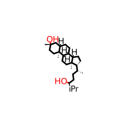 CC(C)[C@@H](O)CC[C@@H](C)[C@H]1CC[C@H]2[C@@H]3CC[C@H]4C[C@@](C)(O)CC[C@]4(C)[C@H]3CC[C@]12C